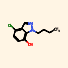 Oc1ccc(Cl)c2cnn(CCCC(F)(F)F)c12